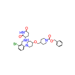 O=C1CCC(NCc2c(Br)cccc2N2CCC(OCC3CCN(C(=O)OCc4ccccc4)CC3)CC2)C(=O)N1